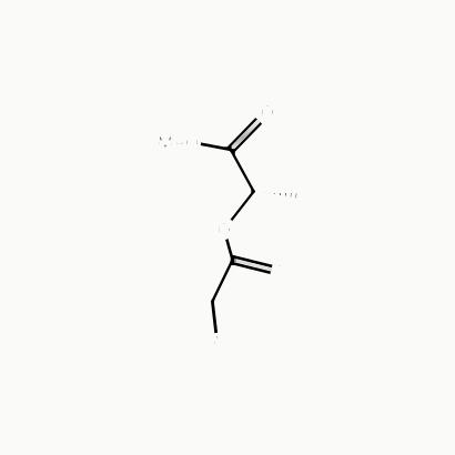 COC(=O)[C@H](C)OC(=O)CC(C)=O